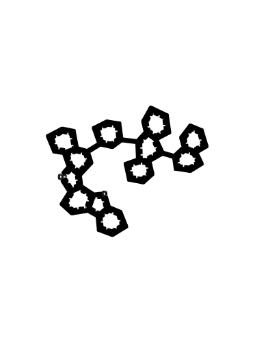 c1cc(-c2c3ccccc3c(-c3cccc4ccccc34)c3ccccc23)cc(-c2cc3c(oc4ccc5c6ccccc6oc5c43)c3ccccc23)c1